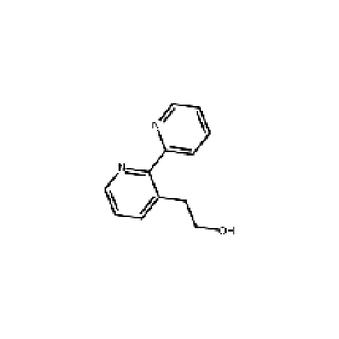 OCCc1cccnc1-c1ccccn1